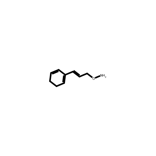 NOC/C=C/C1=CCCC=C1